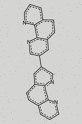 [c]1nc2c(ccc3cccnc32)cc1-c1cnc2c(ccc3cccnc32)c1